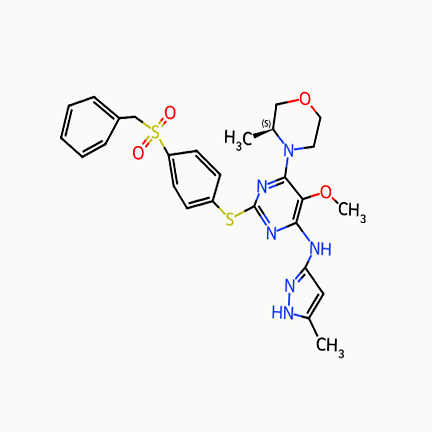 COc1c(Nc2cc(C)[nH]n2)nc(Sc2ccc(S(=O)(=O)Cc3ccccc3)cc2)nc1N1CCOC[C@@H]1C